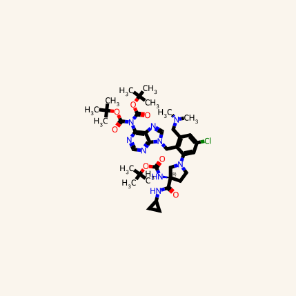 CN(C)Cc1cc(Cl)cc(N2CC[C@](NC(=O)OC(C)(C)C)(C(=O)NC3CC3)C2)c1Cn1cnc2c(N(C(=O)OC(C)(C)C)C(=O)OC(C)(C)C)ncnc21